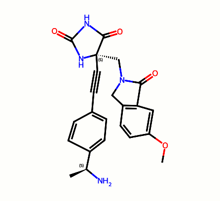 COc1ccc2c(c1)C(=O)N(C[C@]1(C#Cc3ccc([C@H](C)N)cc3)NC(=O)NC1=O)C2